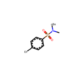 CCCCN(C)S(=O)(=O)c1ccc(CC)cc1